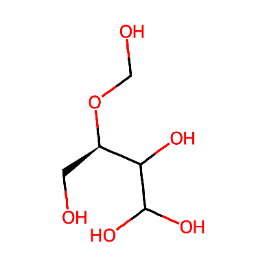 OCO[C@H](CO)C(O)C(O)O